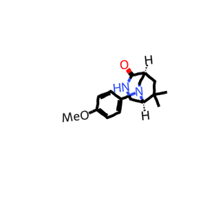 COc1ccc(N2C[C@@H]3CC(C)(C)[C@H]2CNC3=O)cc1